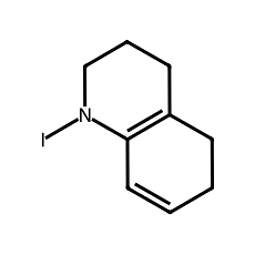 IN1CCCC2=C1C=CCC2